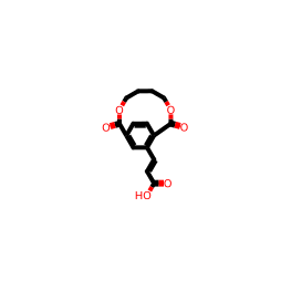 O=C(O)C=Cc1cc2ccc1C(=O)OCCCCOC2=O